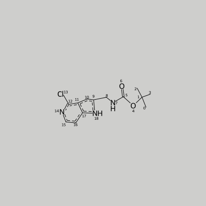 CC(C)(C)OC(=O)NCc1cc2c(Cl)nccc2[nH]1